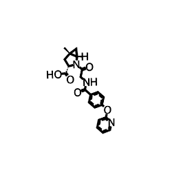 C[C@@]12C[C@@H]1N(C(=O)CNC(=O)c1ccc(Oc3ccccn3)cc1)[C@H](C(=O)O)C2